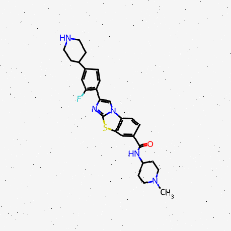 CN1CCC(NC(=O)c2ccc3c(c2)sc2nc(-c4ccc(C5CCNCC5)cc4F)cn23)CC1